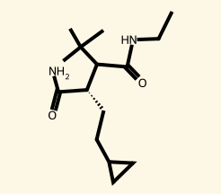 CCNC(=O)C([C@H](CCC1CC1)C(N)=O)C(C)(C)C